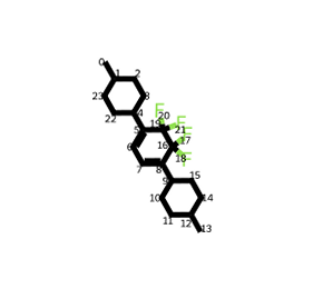 CC1CCC(C2=CC=C(C3CCC(C)CC3)C(F)(F)C2(F)F)CC1